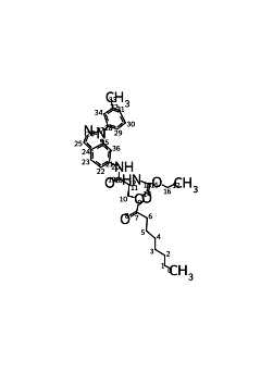 CCCCCCCC(=O)OC[C@H](NC(=O)OCC)C(=O)Nc1ccc2cnn(-c3cccc(C)c3)c2c1